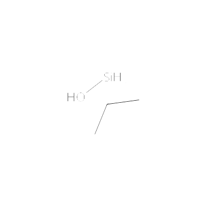 CCC.O[SiH3]